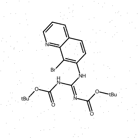 CC(C)(C)OC(=O)N=C(NC(=O)OC(C)(C)C)Nc1ccc2cccnc2c1Br